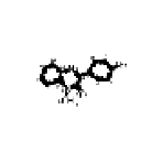 Cn1c(=O)c(-c2ccc(Br)cc2)nc2ccccc21